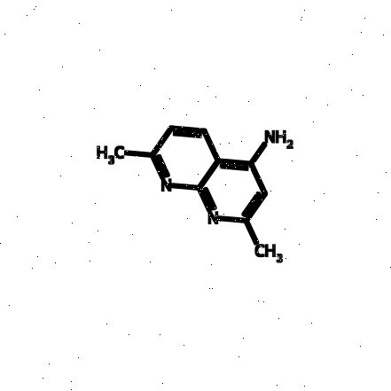 Cc1ccc2c(N)cc(C)nc2n1